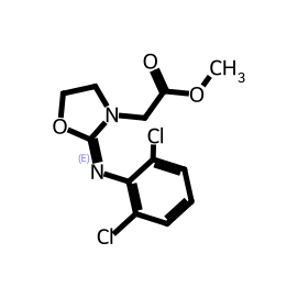 COC(=O)CN1CCO/C1=N/c1c(Cl)cccc1Cl